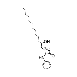 CCCCCCCCCCCC(O)C[C@H]1OC(=O)C1Nc1ccccc1